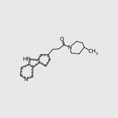 CC1CCN(C(=O)CCc2ccc3c(c2)[nH]c2ccncc23)CC1